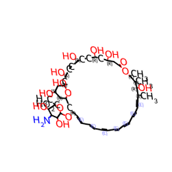 CC1OC(O[C@H]2/C=C/C=C/C=C/C=C/C=C/C=C/C=C/[C@H](C)[C@@H](O)[C@@H](C)[C@H](C)OC(=O)C[C@H](O)C[C@H](O)CC[C@@H](O)CC[C@H](O)C[C@]3(O)C[C@H](O)[C@@H](C(=O)O)C(C2)O3)C(O)C(N)C1O